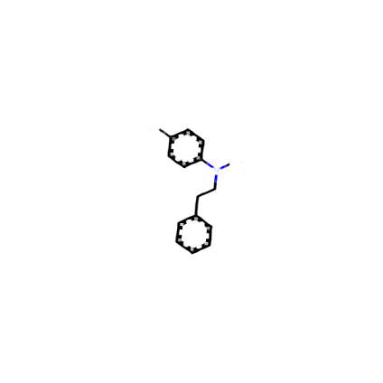 CN(CCc1cc[c]cc1)c1ccc(C(F)(F)F)cc1